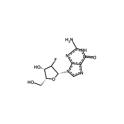 Nc1nc2c(ncn2[C@@H]2O[C@H](CO)[C@H](O)C2F)c(=O)[nH]1